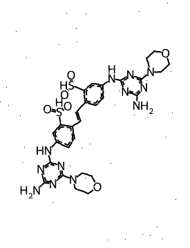 Nc1nc(Nc2ccc(/C=C/c3ccc(Nc4nc(N)nc(N5CCOCC5)n4)cc3[SH](=O)=O)c([SH](=O)=O)c2)nc(N2CCOCC2)n1